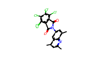 Cc1cc(C)c2cc(N3C(=O)c4c(Cl)c(Cl)c(Cl)c(Cl)c4C3=O)cc(C)c2n1